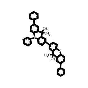 CC1(C)c2cc(-c3ccccc3)ccc2Sc2ccc(-c3ccc4c(c3)C(C)(C)c3cc(-c5ccccc5)ccc3N4c3ccccc3)cc21